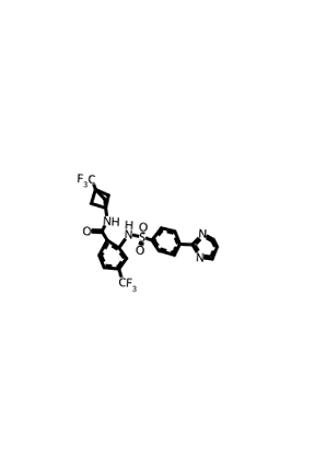 O=C(NC12CC(C(F)(F)F)(C1)C2)c1ccc(C(F)(F)F)cc1NS(=O)(=O)c1ccc(-c2ncccn2)cc1